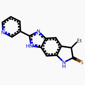 CCC1C(=S)Nc2cc3[nH]c(-c4cccnc4)nc3cc21